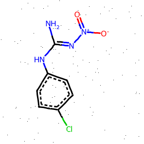 NC(=N[N+](=O)[O-])Nc1ccc(Cl)cc1